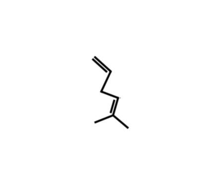 C=CC[C]=C(C)C